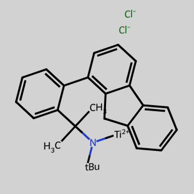 CC(C)(C)[N]([Ti+2])C(C)(C)c1ccccc1-c1cccc2c1Cc1ccccc1-2.[Cl-].[Cl-]